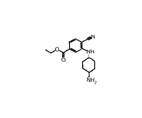 CCOC(=O)c1ccc(C#N)c(N[C@H]2CC[C@H](N)CC2)c1